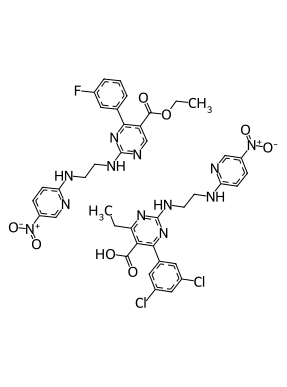 CCOC(=O)c1cnc(NCCNc2ccc([N+](=O)[O-])cn2)nc1-c1cccc(F)c1.CCc1nc(NCCNc2ccc([N+](=O)[O-])cn2)nc(-c2cc(Cl)cc(Cl)c2)c1C(=O)O